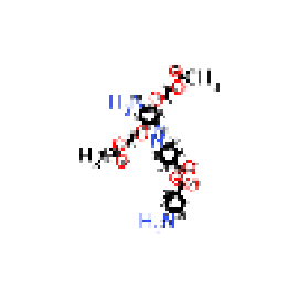 CC(=O)OCCOc1cc(N=Nc2ccc(C(=O)OC(=O)c3ccc(N)cc3)cc2)c(OCCOC(C)=O)cc1N